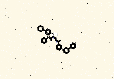 C/C(=C\C=C(\Nc1ccc(C2=CCCCC2)cc1)C(C)Nc1ccccc1)c1cccc([C@H]2C=CC=C(c3ccccc3)C2)c1